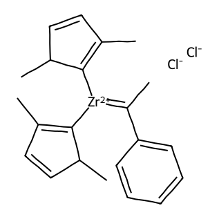 CC1=[C]([Zr+2]([C]2=C(C)C=CC2C)=[C](C)c2ccccc2)C(C)C=C1.[Cl-].[Cl-]